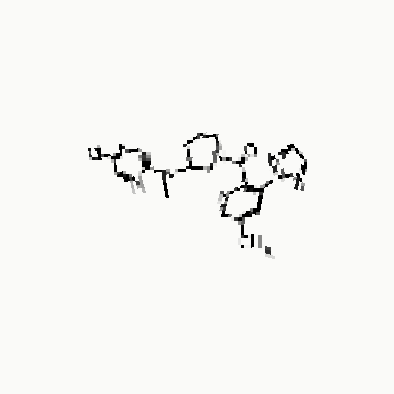 Cc1cnc(C(=O)N2CCCC(Nc3cnc(Cl)cn3)C2)c(-n2nccn2)c1